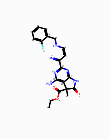 CCOC(=O)C1(C)C(=O)Nc2nc(C(=N)/C=C\NCc3ccccc3F)nc(N)c21